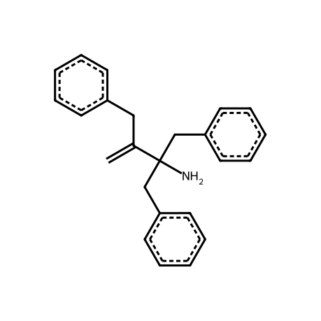 C=C(Cc1ccccc1)C(N)(Cc1ccccc1)Cc1ccccc1